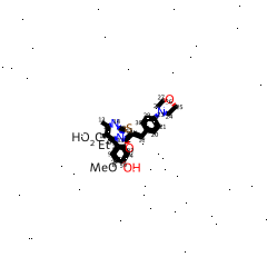 CCC1(c2ccc(O)c(OC)c2)C(C(=O)O)=C(C)N=c2s/c(=C\c3ccc(N4CCOCC4)cc3)c(=O)n21